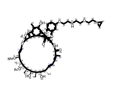 CO[C@H]1/C=C/O[C@@]2(F)Oc3c(C)c(O)c4c(=O)c(c5oc6cc(OCCNCCOCCN7CC7)ccc6nc-5c4c3C2=O)NC(=O)/C(C)=C\C=C\[C@H](C)[C@H](O)[C@@H](C)[C@@H](O)[C@@H](C)[C@H](OC(C)=O)[C@@H]1C